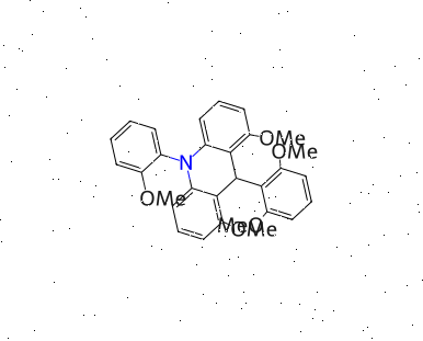 COc1ccccc1N1c2cccc(OC)c2C(c2c(OC)cccc2OC)c2c(OC)cccc21